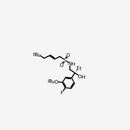 CC[C@@](O)(CNS(=O)(=O)C/C=C/CC(C)(C)C)c1ccc(F)c(OCC(C)C)c1